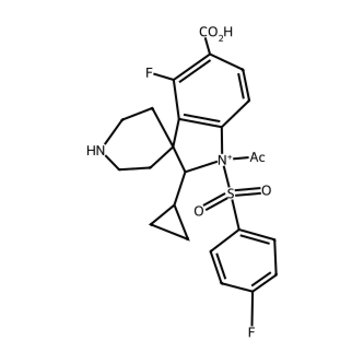 CC(=O)[N+]1(S(=O)(=O)c2ccc(F)cc2)c2ccc(C(=O)O)c(F)c2C2(CCNCC2)C1C1CC1